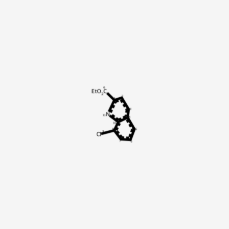 CCOC(=O)c1ccc2cccc(Cl)c2n1